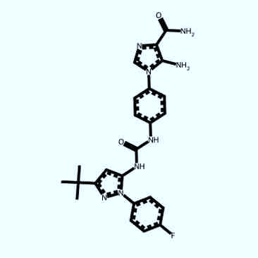 CC(C)(C)c1cc(NC(=O)Nc2ccc(-n3cnc(C(N)=O)c3N)cc2)n(-c2ccc(F)cc2)n1